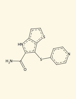 NC(=O)c1[nH]c2ccsc2c1Sc1ccncc1